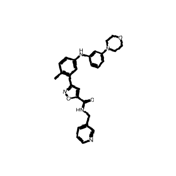 Cc1ccc(Nc2cccc(N3CCOCC3)c2)cc1-c1cc(C(=O)NCc2cccnc2)on1